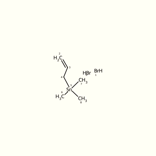 Br.Br.C=C[CH2][Sn]([CH3])([CH3])[CH3]